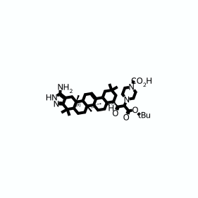 CC1(C)CC2C3=CCC4[C@@]5(C)Cc6c(n[nH]c6N)C(C)(C)C5CC[C@@]4(C)[C@]3(C)CC[C@@H]2[C@H](C(=O)C(C(=O)OC(C)(C)C)N2CCN(C(=O)O)CC2)C1